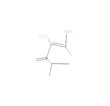 B/C(C(=C)C(C)C)=C(/C)N